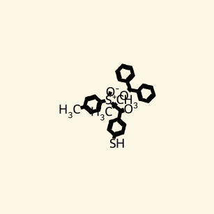 Cc1ccc([S+]([O-])C(C)(C)C(=O)c2ccc(S)cc2)cc1.O=C(c1ccccc1)c1ccccc1